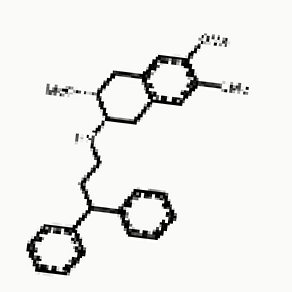 COc1cc2c(cc1OC)C[C@@H](OC)[C@H](NCCC(c1ccccc1)c1ccccc1)C2